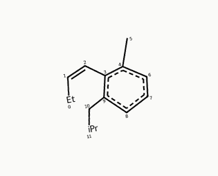 CC/C=C\c1c(C)cccc1CC(C)C